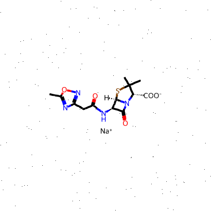 Cc1nc(CC(=O)N[C@@H]2C(=O)N3[C@@H]2SC(C)(C)[C@@H]3C(=O)[O-])no1.[Na+]